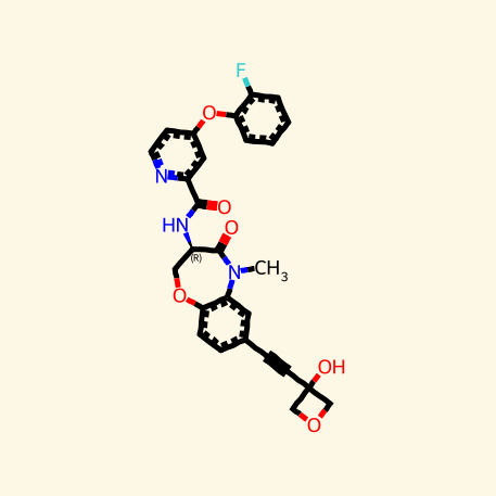 CN1C(=O)[C@H](NC(=O)c2cc(Oc3ccccc3F)ccn2)COc2ccc(C#CC3(O)COC3)cc21